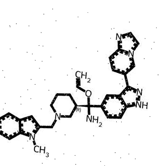 C=COC(N)(c1ccc2[nH]nc(-c3ccc4nccn4c3)c2c1)[C@@H]1CCCN(Cc2cc3ccccc3n2C)C1